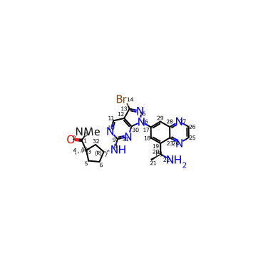 CNC(=O)[C@]1(C)CC[C@@H](Nc2ncc3c(Br)nn(-c4cc([C@H](C)N)c5nccnc5c4)c3n2)C1